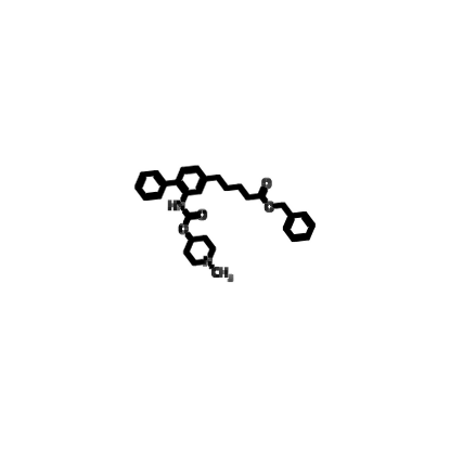 CN1CCC(OC(=O)Nc2cc(CCCCC(=O)OCc3ccccc3)ccc2-c2ccccc2)CC1